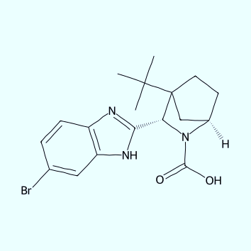 CC(C)(C)C12CC[C@H](C1)N(C(=O)O)[C@@H]2c1nc2ccc(Br)cc2[nH]1